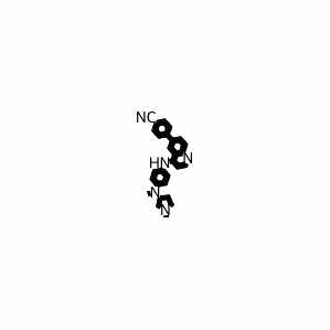 CN1CCC(N(C)c2ccc(Nc3ccnc4ccc(-c5ccc(C#N)cc5)cc34)cc2)C1